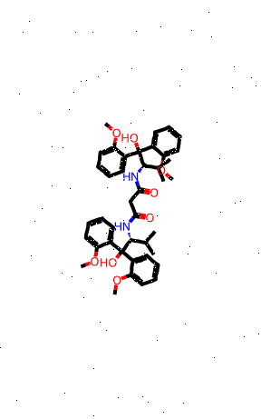 COc1ccccc1C(O)(c1ccccc1OC)[C@H](NC(=O)CC(=O)N[C@H](C(C)C)C(O)(c1ccccc1OC)c1ccccc1OC)C(C)C